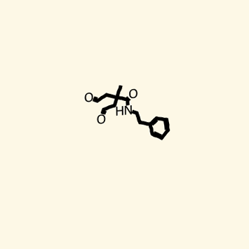 CC(CC=O)(CC=O)C(=O)NCCc1ccccc1